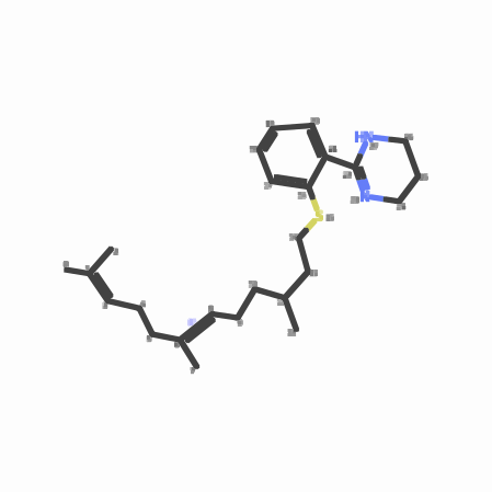 CC(C)=CCC/C(C)=C/CCC(C)CCSc1ccccc1C1=NCCCN1